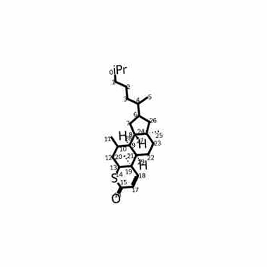 CC(C)CCCC(C)C1C[C@H]2[C@@H]3C(C)CC4SC(=O)C=C[C@]4(C)[C@@H]3CC[C@]2(C)C1